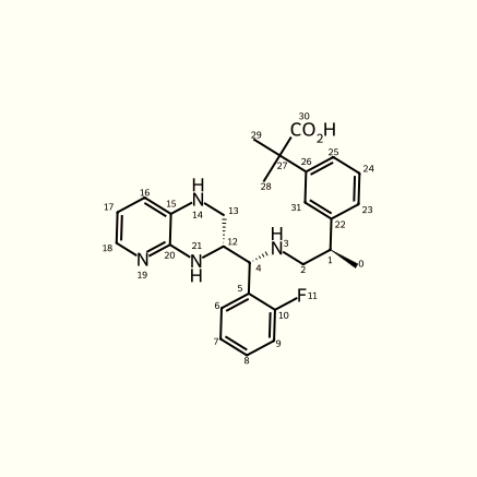 C[C@@H](CN[C@H](c1ccccc1F)[C@H]1CNc2cccnc2N1)c1cccc(C(C)(C)C(=O)O)c1